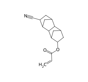 C=CC(=O)OC1CC2CC1C1C3CC(CC3C#N)C21